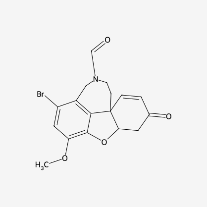 COc1cc(Br)c2c3c1OC1CC(=O)C=CC31CCN(C=O)C2